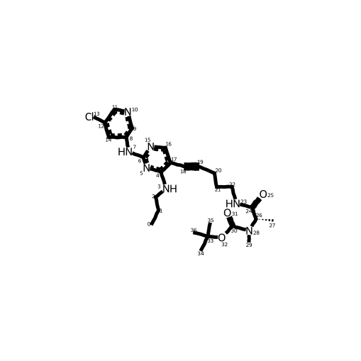 CCCNc1nc(Nc2cncc(Cl)c2)ncc1C#CCCCNC(=O)[C@H](C)N(C)C(=O)OC(C)(C)C